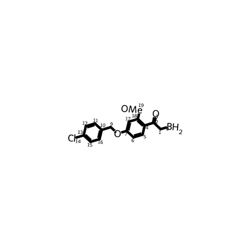 BCC(=O)c1ccc(OCc2ccc(Cl)cc2)cc1OC